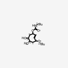 CC(C)(C)NC(=O)OC1/C=C/C(OC(C)(C)C)CC(O)C(O)C1